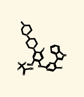 COc1cc(N2CCC(N3CCN(C)CC3)CC2)c(F)cc1Nc1ncc(F)c(-c2c[nH]c3ccccc23)n1.O=C(O)C(F)(F)F